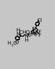 COc1ccc2[nH]c(C)c(CCNC(=O)Oc3cc4nc(-c5ccc(Cl)cc5)cc(C(F)(F)F)n4n3)c2c1